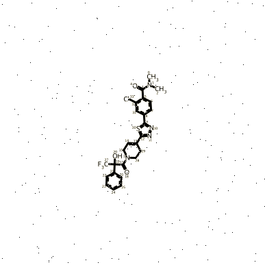 CN(C)C(=O)c1ccc(-c2nnc(C3=CCN(C(=O)C(O)(c4ccccc4)C(F)(F)F)CC3)s2)cc1Cl